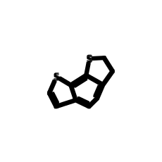 c1cc2ccc3c(c2s1)SCC3